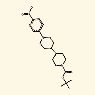 CC(C)(C)OC(=O)N1CCC(C2CCN(c3ccc([N+](=O)[O-])nc3)CC2)CC1